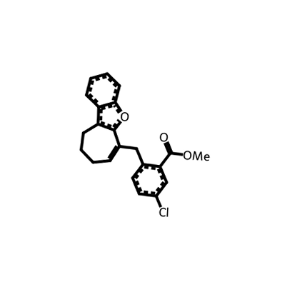 COC(=O)c1cc(Cl)ccc1CC1=CCCCc2c1oc1ccccc21